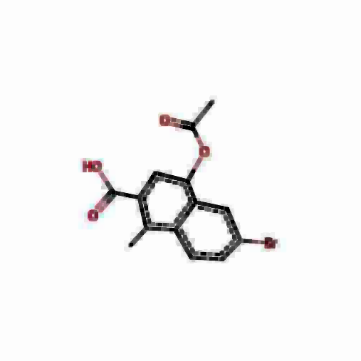 CC(=O)Oc1cc(C(=O)O)c(C)c2ccc(Br)cc12